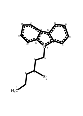 CCCC(Br)CCn1c2ccccc2c2ccccc21